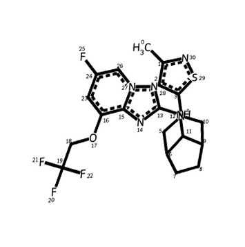 Cc1cc(N2CC3CCC(C2)C3Nc2nc3c(OCC(F)(F)F)cc(F)cn3n2)sn1